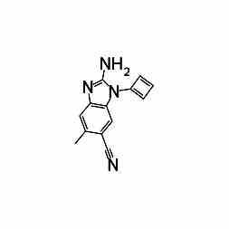 Cc1cc2nc(N)n(C3=CC=C3)c2cc1C#N